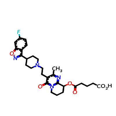 Cc1nc2n(c(=O)c1CCN1CCC(c3noc4cc(F)ccc34)CC1)CCCC2OC(=O)CCCC(=O)O